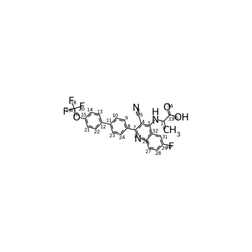 CC(Nc1c(C#N)c(-c2ccc(-c3ccc(OC(F)(F)F)cc3)cc2)nc2ccc(F)cc12)C(=O)O